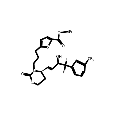 CC(C)OC(=O)c1ccc(CCCN2C(=O)OCC[C@@H]2C=CC(O)C(F)(F)c2cccc(C(F)(F)F)c2)s1